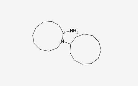 NN1CCCCCCCCCN1C1CCCCCCCCCC1